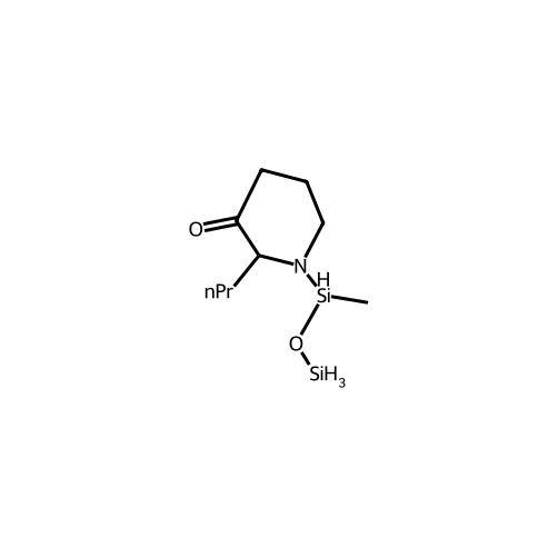 CCCC1C(=O)CCCN1[SiH](C)O[SiH3]